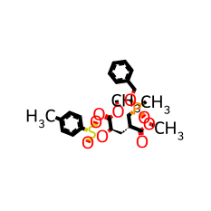 COC(=O)[C@H](C[C@@H](OS(=O)(=O)c1ccc(C)cc1)C(=O)OC)CP(C)(=O)OCc1ccccc1